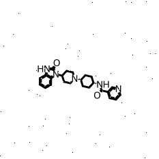 O=C(N[C@H]1CC[C@@H](N2CCC(n3c(=O)[nH]c4ccccc43)CC2)CC1)c1cccnc1